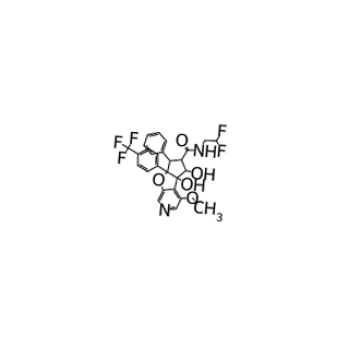 COc1cncc2c1C1(O)C(O)C(C(=O)NCC(F)F)C(c3ccccc3)C1(c1ccc(C(F)(F)F)cc1)O2